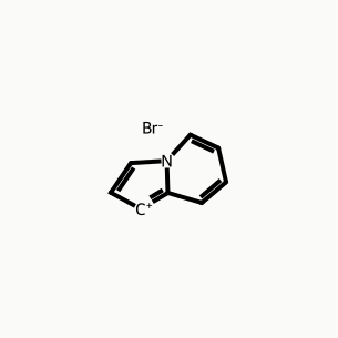 [Br-].[C+]1=C2C=CC=CN2C=C1